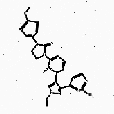 CCn1cc(C2C=CC=C(N3CCN(c4ccc(OC)cc4)C3=O)C2F)c(-c2ccnc(N)n2)n1